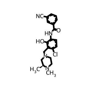 C[C@H]1CN(Cc2c(Cl)ccc(NC(=O)c3cccc(C#N)c3)c2O)CCN1C